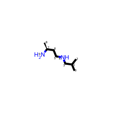 CC(C)CNCC[C@H](C)N